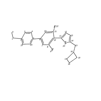 CCc1ccc(-c2cc(F)c(-c3ccc(CC4CCC4)s3)c(F)c2)cc1